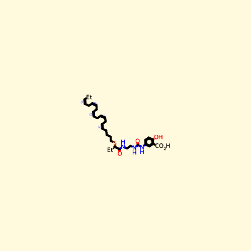 CC/C=C\C/C=C\C/C=C\C/C=C\C/C=C\CCCCS[C@@H](CC)C(=O)NCCNC(=O)Nc1ccc(O)c(C(=O)O)c1